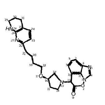 O=C1On2cnc3cccc(c32)C1N1CC[C@@H](OCCCCc2ccc3c(n2)NCCC3)C1